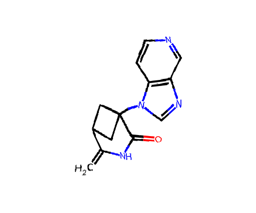 C=C1NC(=O)C2(n3cnc4cnccc43)CC1C2